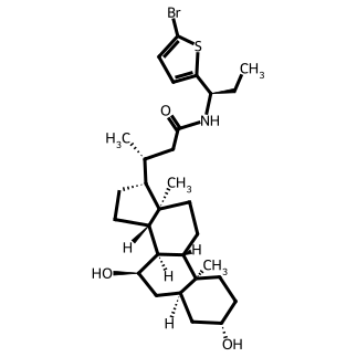 CC[C@@H](NC(=O)C[C@@H](C)[C@H]1CC[C@H]2[C@@H]3[C@H](O)C[C@@H]4C[C@@H](O)CC[C@]4(C)[C@H]3CC[C@]12C)c1ccc(Br)s1